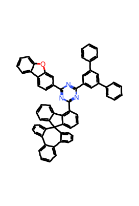 c1ccc(-c2cc(-c3ccccc3)cc(-c3nc(-c4ccc5c(c4)oc4ccccc45)nc(-c4cccc5c4-c4ccccc4C54c5ccccc5-c5ccccc5-c5ccccc54)n3)c2)cc1